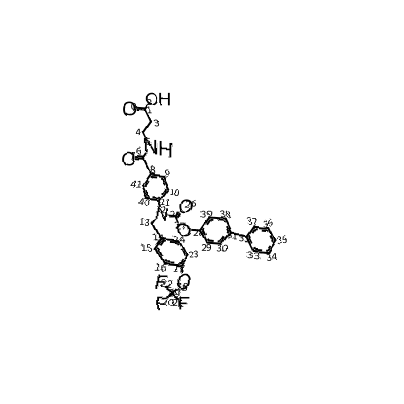 O=C(O)CCNC(=O)c1ccc(N(Cc2ccc(OC(F)(F)F)cc2)C(=O)Oc2ccc(-c3ccccc3)cc2)cc1